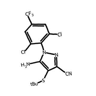 CC(C)(C)Sc1c(C#N)nn(-c2c(Cl)cc(C(F)(F)F)cc2Cl)c1N